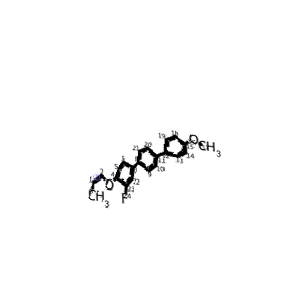 C/C=C\Oc1ccc(-c2ccc(-c3ccc(OC)cc3)cc2)cc1F